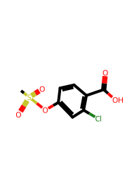 CS(=O)(=O)Oc1ccc(C(=O)O)c(Cl)c1